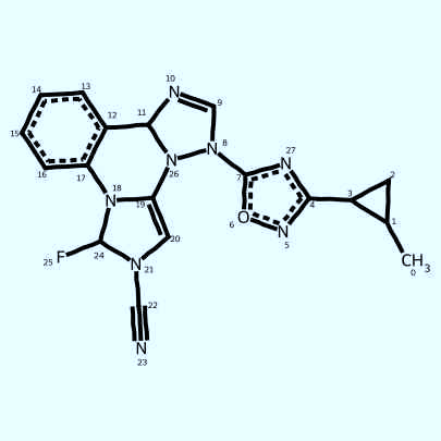 CC1CC1c1noc(N2C=NC3c4ccccc4N4C(=CN(C#N)C4F)N32)n1